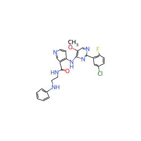 COc1cnc(-c2cc(Cl)ccc2F)nc1Nc1ccncc1C(=O)NCCNc1ccccc1